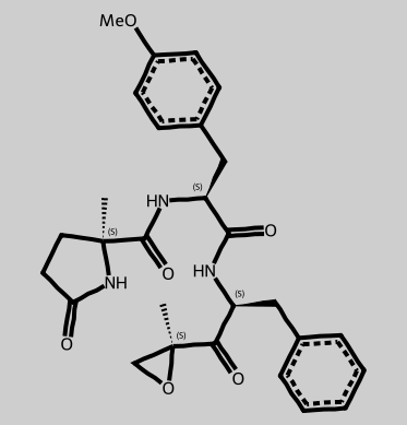 COc1ccc(C[C@H](NC(=O)[C@]2(C)CCC(=O)N2)C(=O)N[C@@H](Cc2ccccc2)C(=O)[C@]2(C)CO2)cc1